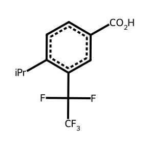 CC(C)c1ccc(C(=O)O)cc1C(F)(F)C(F)(F)F